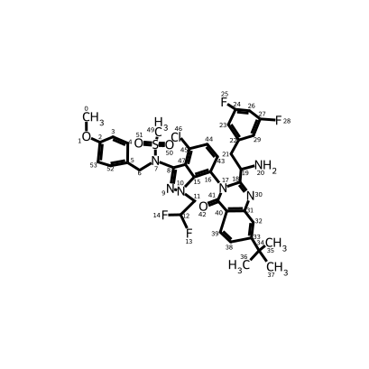 COc1ccc(CN(c2nn(CC(F)F)c3c(-n4c(C(N)Cc5cc(F)cc(F)c5)nc5cc(C(C)(C)C)ccc5c4=O)ccc(Cl)c23)S(C)(=O)=O)cc1